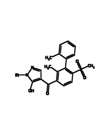 CCn1ncc(C(=O)c2ccc(S(C)(=O)=O)c(-c3ccccc3C)c2C)c1O